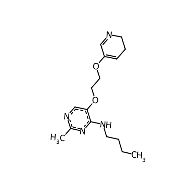 CCCCNc1nc(C)ncc1OCCOC1=CCCN=C1